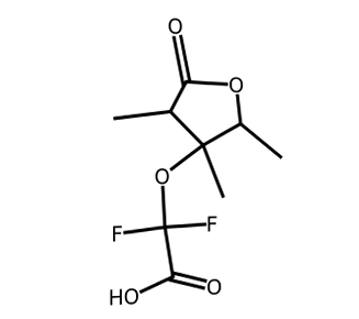 CC1OC(=O)C(C)C1(C)OC(F)(F)C(=O)O